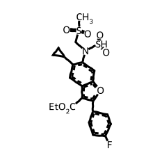 CCOC(=O)c1c(-c2ccc(F)cc2)oc2cc(N(CS(C)(=O)=O)[SH](=O)=O)c(C3CC3)cc12